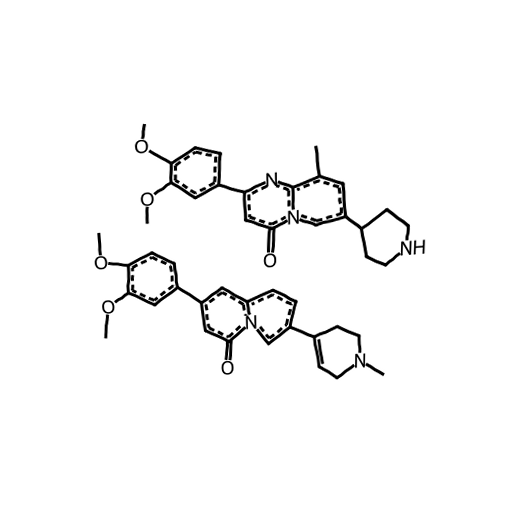 COc1ccc(-c2cc(=O)n3cc(C4=CCN(C)CC4)ccc3c2)cc1OC.COc1ccc(-c2cc(=O)n3cc(C4CCNCC4)cc(C)c3n2)cc1OC